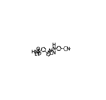 CCNS(=O)(=O)c1cccc(-c2ccc3cnc(Nc4ccc(C5CCN(C)CC5)cc4)nn23)c1